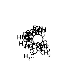 CCC(=O)/N=C1\[C@H](C)C[C@@]2(C)OCC(=O)CC[C@H]([C@H]1C)[C@](C)(O)[C@@H](CC)OC(=O)[C@@](C)(F)C(=O)[C@H](C)[C@H]2O[C@@H]1O[C@H](C)C[C@H](N(C)C)[C@H]1OC